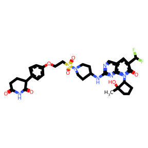 CC1(O)CCCC1n1c(=O)c(C(F)F)cc2cnc(NC3CCN(S(=O)(=O)CCOc4ccc(C5CCC(=O)NC5=O)cc4)CC3)nc21